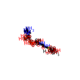 CC(C)(COP(=O)(O)OP(=O)(O)OC[C@H]1O[C@@H](n2cnc3c(N)ncnc32)[C@H](O)[C@@H]1OP(=O)(O)O)C(O)C(=O)NCCC(=O)NCCSC(=O)C(C)(C)C(C)(O)C(O)(O)C(=O)O